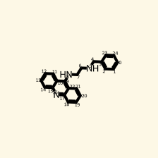 c1ccc(CNCCNc2c3ccccc3nc3ccccc23)cc1